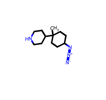 CC1(C2CCNCC2)CCC(N=[N+]=[N-])CC1